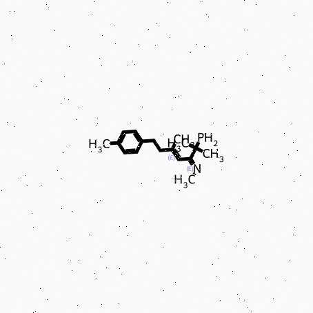 C/N=C(\C=C(/C)CCc1ccc(C)cc1)C(C)(C)P